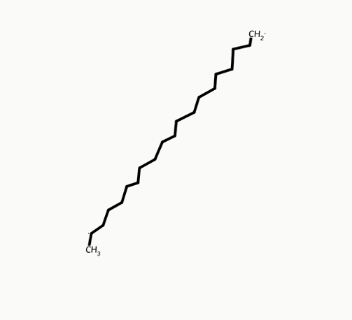 [CH2]CCCCCCCCCCCCCCCCC[CH]C